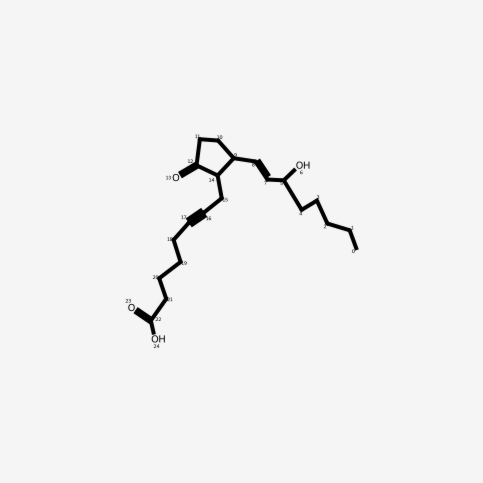 CCCCCC(O)C=CC1CCC(=O)C1CC#CCCCCC(=O)O